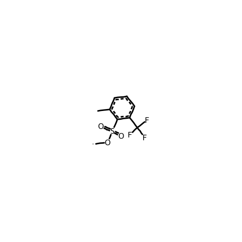 [CH2]OS(=O)(=O)c1c(C)cccc1C(F)(F)F